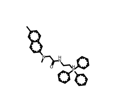 Cc1ccc2cc(N(C)CC(=O)NCC[PH](c3ccccc3)(c3ccccc3)c3ccccc3)ccc2c1